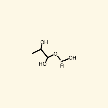 CC(O)C(O)OBO